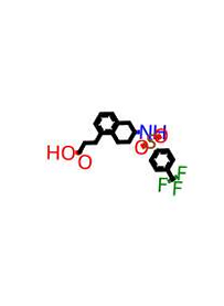 O=C(O)CCc1cccc2c1CCC(NS(=O)(=O)c1ccc(C(F)(F)F)cc1)C2